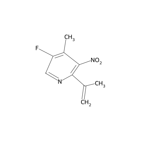 C=C(C)c1ncc(F)c(C)c1[N+](=O)[O-]